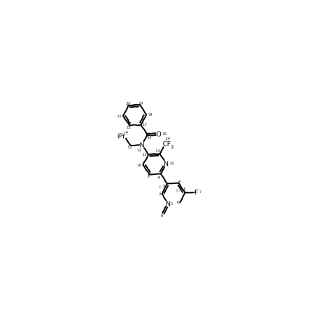 C=N/C=C(\C=C(/C)F)c1ccc(N(CC(C)C)C(=O)c2ccccc2)c(C(F)(F)F)n1